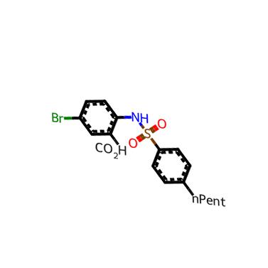 CCCCCc1ccc(S(=O)(=O)Nc2ccc(Br)cc2C(=O)O)cc1